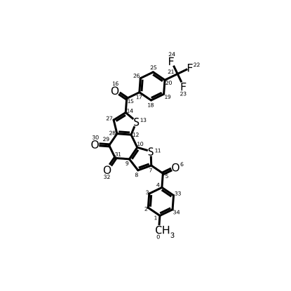 Cc1ccc(C(=O)c2cc3c(s2)-c2sc(C(=O)c4ccc(C(F)(F)F)cc4)cc2C(=O)C3=O)cc1